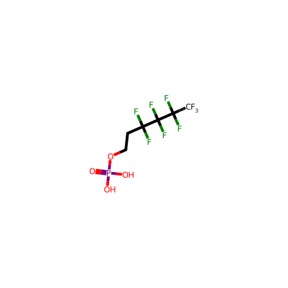 O=P(O)(O)OCCC(F)(F)C(F)(F)C(F)(F)C(F)(F)F